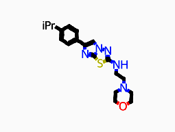 CC(C)c1ccc(-c2cn3nc(NCCN4CCOCC4)sc3n2)cc1